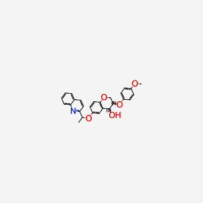 COc1ccc(O[C@@H]2COc3ccc(OC(C)c4ccc5ccccc5n4)cc3[C@@H]2O)cc1